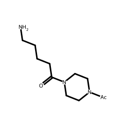 [CH2]C(=O)N1CCN(C(=O)CCCCN)CC1